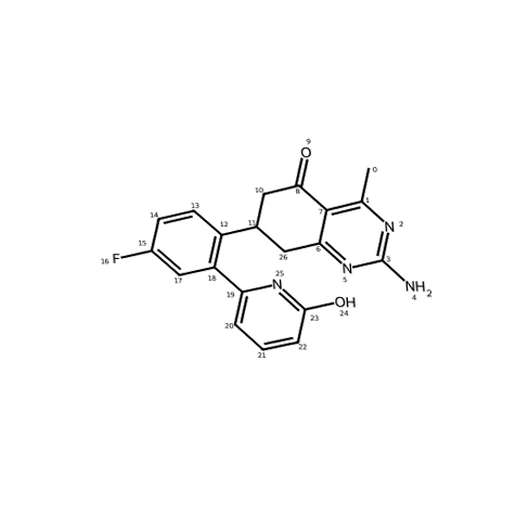 Cc1nc(N)nc2c1C(=O)CC(c1ccc(F)cc1-c1cccc(O)n1)C2